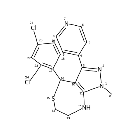 Cn1nc(-c2ccncc2)c2c1NCCSC2c1ccc(Cl)cc1Cl